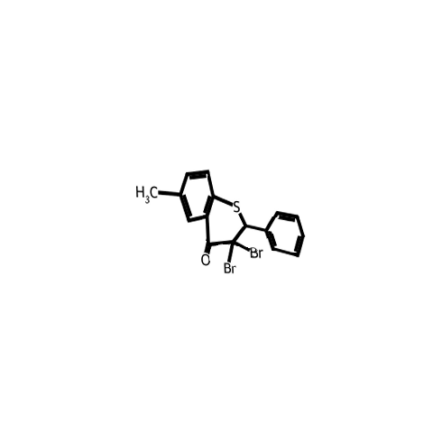 Cc1ccc2c(c1)C(=O)C(Br)(Br)C(c1ccccc1)S2